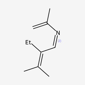 C=C(C)/N=C\C(CC)=C(C)C